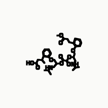 COC(=O)CCc1ccccc1OCC(CNC(C)C)OC(=O)C(=O)OC(CNC(C)C)COc1ccccc1C(C)CC(=O)O